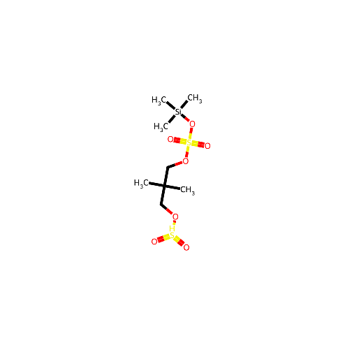 CC(C)(CO[SH](=O)=O)COS(=O)(=O)O[Si](C)(C)C